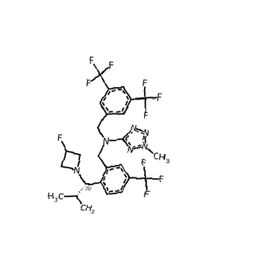 CC(C)[C@@H](c1ccc(C(F)(F)F)cc1CN(Cc1cc(C(F)(F)F)cc(C(F)(F)F)c1)c1nnn(C)n1)N1CC(F)C1